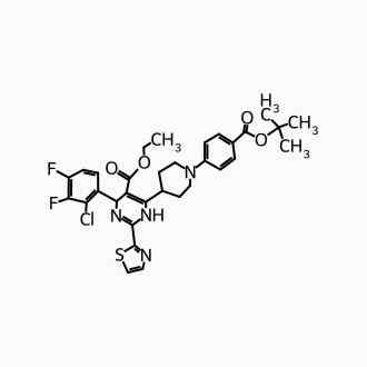 CCOC(=O)C1=C(C2CCN(c3ccc(C(=O)OC(C)(C)C)cc3)CC2)NC(c2nccs2)=NC1c1ccc(F)c(F)c1Cl